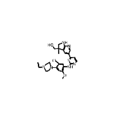 CCN1CCN(c2cc(OC)c(Nc3nccc(-c4cnc5c(c4)C(C)(CO)CN5)n3)cc2Cl)CC1